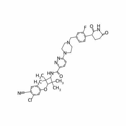 CC1(C)C(NC(=O)c2ccc(N3CCN(Cc4ccc(C5CCC(=O)NC5=O)c(F)c4)CC3)nn2)C(C)(C)C1Oc1ccc(C#N)c(Cl)c1